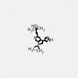 CCC(CC)n1cc(-c2cn[nH]c2)c2cc(C#CC(C)(C)O)ncc21